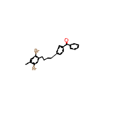 Cc1cc(Br)c(CCCCc2ccc(C(=O)c3ccccc3)cc2)cc1Br